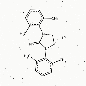 Cc1cccc(C)c1N1CCN(c2c(C)cccc2C)C1=[N-].[Li+]